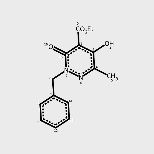 CCOC(=O)c1c(O)c(C)nn(Cc2ccccc2)c1=O